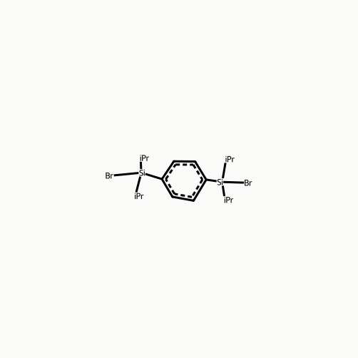 CC(C)[Si](Br)(c1ccc([Si](Br)(C(C)C)C(C)C)cc1)C(C)C